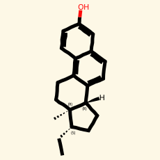 CC[C@H]1CC[C@H]2c3ccc4cc(O)ccc4c3CC[C@]12C